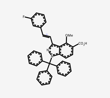 COc1c(C(=O)O)ccc2c1c(/C=C/c1cccc(F)c1)nn2C(c1ccccc1)(c1ccccc1)c1ccccc1